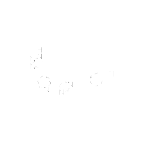 Cc1[nH]nnc1-c1ccnc(-c2cn(C[C@H]3CCCc4cc(Cl)ccc43)cn2)c1